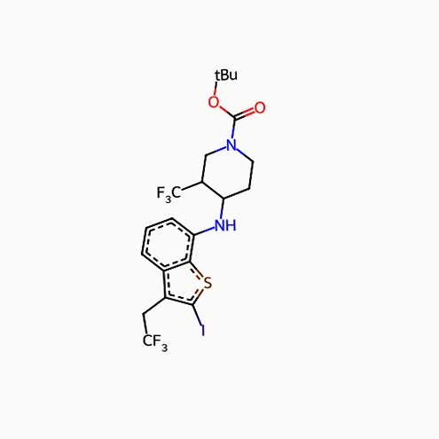 CC(C)(C)OC(=O)N1CCC(Nc2cccc3c(CC(F)(F)F)c(I)sc23)C(C(F)(F)F)C1